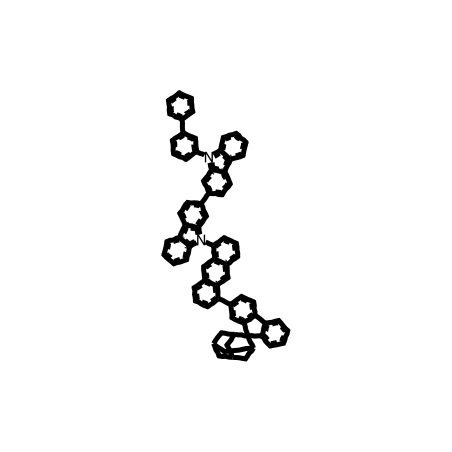 c1ccc(-c2cccc(-n3c4ccccc4c4ccc(-c5ccc6c7ccccc7n(-c7cccc8cc9c(-c%10ccc%11c(c%10)C%10(c%12ccccc%12-%11)C%11CC%12CC(C%11)CC%10C%12)cccc9cc78)c6c5)cc43)c2)cc1